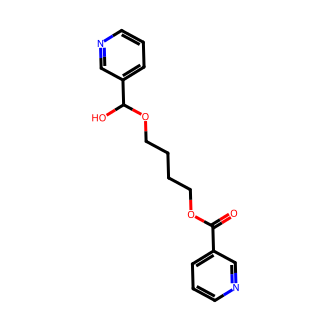 O=C(OCCCCOC(O)c1cccnc1)c1cccnc1